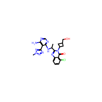 CC(Nc1ncnc(N)c1-c1nnn(C)n1)c1nc2cccc(Cl)c2c(=O)n1C1CC(CO)C1